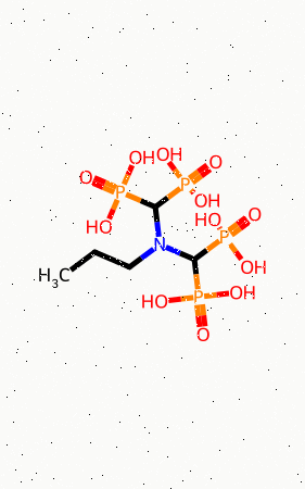 CCCN(C(P(=O)(O)O)P(=O)(O)O)C(P(=O)(O)O)P(=O)(O)O